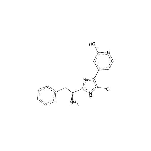 N[C@@H](Cc1ccccc1)c1nc(-c2ccnc(O)c2)c(Cl)[nH]1